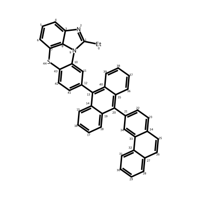 CCc1nc2cccc3c2n1-c1cc(-c2c4ccccc4c(-c4ccc5ccc6ccccc6c5c4)c4ccccc24)ccc1S3